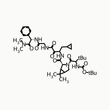 CN(C)C(=O)[C@@H](NC(=O)CNC(=O)C(=O)C(CC1CC1)NC(=O)[C@@H]1C2C(CN1C(=O)C(NC(=O)OC(C)(C)C)C(C)(C)C)C2(C)C)c1ccccc1